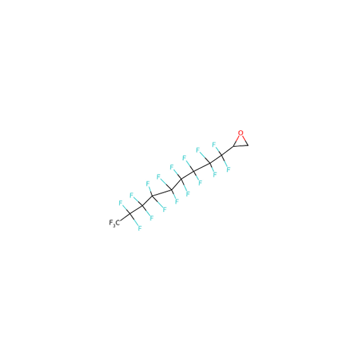 FC(F)(F)C(F)(F)C(F)(F)C(F)(F)C(F)(F)C(F)(F)C(F)(F)C(F)(F)C(F)(F)C1CO1